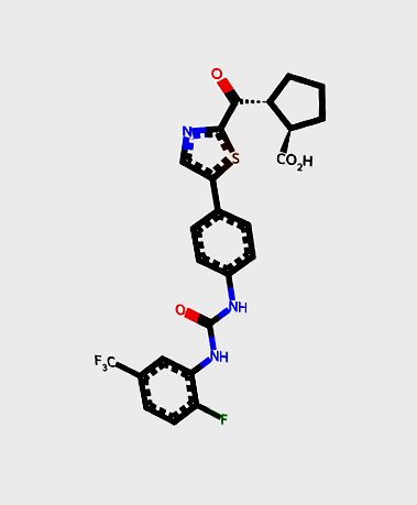 O=C(Nc1ccc(-c2cnc(C(=O)[C@@H]3CCC[C@H]3C(=O)O)s2)cc1)Nc1cc(C(F)(F)F)ccc1F